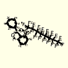 CO[I+](OS(=O)(=O)C(F)(F)C(F)(F)C(F)(F)C(F)(F)C(F)(F)C(F)(F)C(F)(F)C(F)(F)F)(c1ccccc1)c1ccccc1